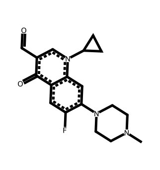 CN1CCN(c2cc3c(cc2F)c(=O)c(C=O)cn3C2CC2)CC1